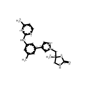 Cc1cc(Nc2nccc(C)n2)cc(-c2cnn(C[C@@]3(C)CNC(=O)O3)c2)c1